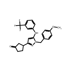 COc1ccc(Cn2nc(C3CCC(=O)C3)cc2Nc2cccc(C(F)(F)F)c2)cc1